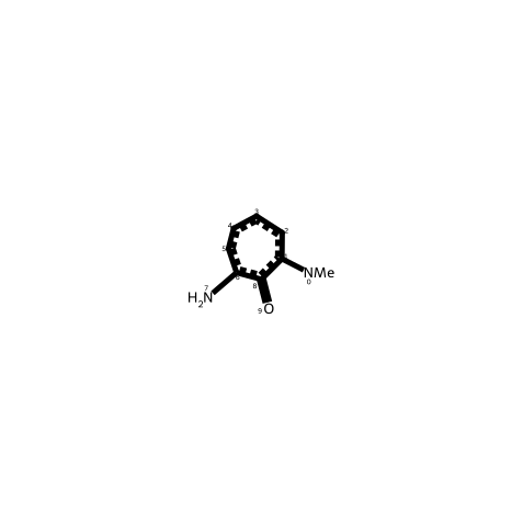 CNc1ccccc(N)c1=O